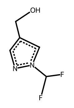 OCc1cnn(C(F)F)c1